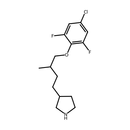 CC(CCC1CCNC1)COc1c(F)cc(Cl)cc1F